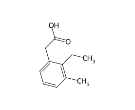 CCc1c(C)cccc1CC(=O)O